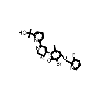 Cc1cc(OCc2ncccc2F)c(Br)c(=O)n1C1=CC(c2cccc(C(C)(C)O)n2)=NC[C@H]1C